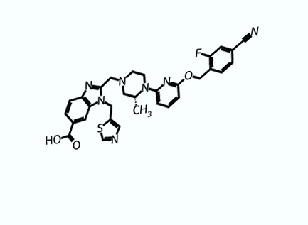 C[C@@H]1CN(Cc2nc3ccc(C(=O)O)cc3n2Cc2cncs2)CCN1c1cccc(OCc2ccc(C#N)cc2F)n1